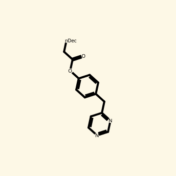 CCCCCCCCCCCC(=O)Oc1ccc(Cc2ccncn2)cc1